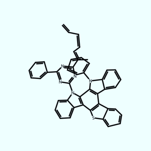 C=C/C=C\C=C(/C)c1nc(-c2ccccc2)nc(-n2c3ccccc3c3c4sc5ccccc5c4c4c5ccccc5n(-c5ccccc5)c4c32)n1